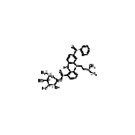 CC(C)=CCN1c2cc(C(=O)c3ccccc3)ccc2Nc2c(C(=O)O[C@@H]3O[C@@H](C)[C@H](O)[C@@H](O)[C@H]3O)cccc21